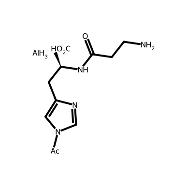 CC(=O)n1cnc(C[C@H](NC(=O)CCN)C(=O)O)c1.[AlH3]